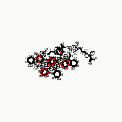 C=C(C)C(=O)OCCC[Si](C)(C)O[Si](C)(C)CC[Si](C)(O[Si](O[Si](O[Si](O[Si](O[Si](O[Si](C)(CC[Si](C)(C)O[Si](C)(C)CCCOC(=O)C(=C)C)c1ccccc1)(c1ccccc1)c1ccccc1)(c1ccccc1)c1ccccc1)(c1ccccc1)c1ccccc1)(c1ccccc1)c1ccccc1)(c1ccccc1)c1ccccc1)c1ccccc1